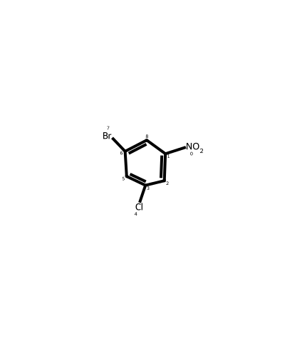 O=[N+]([O-])c1cc(Cl)cc(Br)c1